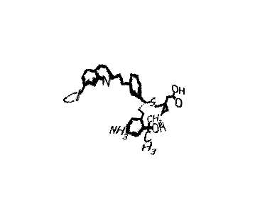 CC(C)(O)c1ccccc1CC[C@@H](SCC1(CC(=O)O)CC1)c1cccc(C=Cc2ccc3ccc(Cl)cc3n2)c1.N